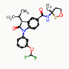 CC(C)C1C(=O)N(c2cccc(OC(F)F)c2)c2ccc(C(=O)NC3(C)CCOS3)cc21